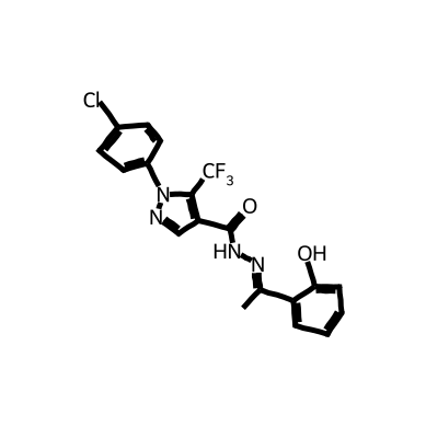 C/C(=N\NC(=O)c1cnn(-c2ccc(Cl)cc2)c1C(F)(F)F)c1ccccc1O